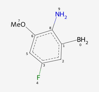 Bc1cc(F)cc(OC)c1N